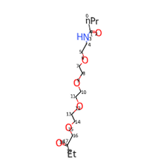 CCCC(=O)NCCOCCOCCOCCOCC(=O)CC